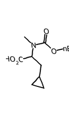 CCCCOC(=O)N(C)C(CC1CC1)C(=O)O